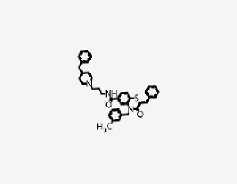 Cc1cccc(CN2C(=O)C(=Cc3ccccc3)Sc3ccc(C(=O)NCCCN4CCC(Cc5ccccc5)CC4)cc32)c1